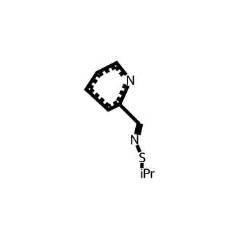 CC(C)S/N=C/c1ccccn1